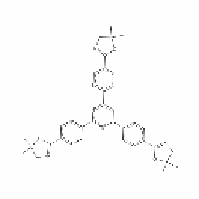 CC1(C)CN=C(c2ccc(-c3cc(-c4ccc(C5=NCC(C)(C)O5)cn4)nc(-c4ccc(C5=NCC(C)(C)O5)cc4)n3)cc2)O1